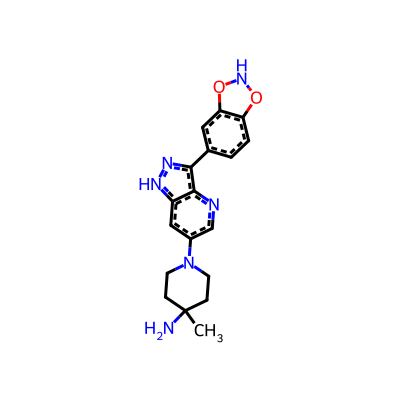 CC1(N)CCN(c2cnc3c(-c4ccc5c(c4)ONO5)n[nH]c3c2)CC1